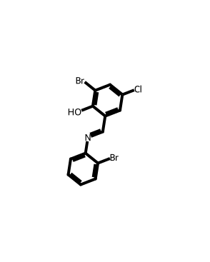 Oc1c(Br)cc(Cl)cc1/C=N/c1ccccc1Br